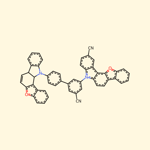 N#Cc1cc(-c2ccc(N3c4ccccc4C4C=Cc5oc6ccccc6c5C43)cc2)cc(-n2c3ccc(C#N)cc3c3c4oc5ccccc5c4ccc32)c1